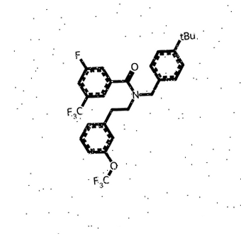 CC(C)(C)c1ccc(CN(CCc2cccc(OC(F)(F)F)c2)C(=O)c2cc(F)cc(C(F)(F)F)c2)cc1